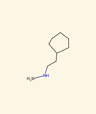 [SiH3]NCCC1CCCCC1